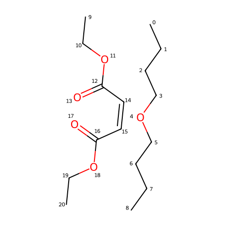 CCCCOCCCC.CCOC(=O)/C=C\C(=O)OCC